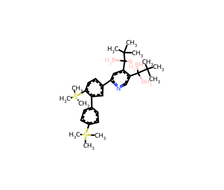 BC(B)(c1cnc(-c2ccc(S(C)(C)C)c(-c3ccc(S(C)(C)C)cc3)c2)cc1C(B)(B)C(C)(C)C)C(C)(C)C